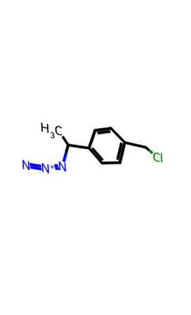 CC(N=[N+]=[N-])c1ccc(CCl)cc1